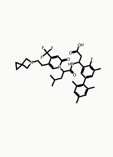 Cc1cc(C)c(-c2cc(C)c(F)c(C(CC(=O)O)NC(=O)C(CC(C)C)n3cc(CCN4CC5(CC5)C4)c(C(F)(F)F)cc3=O)c2)c(C)c1